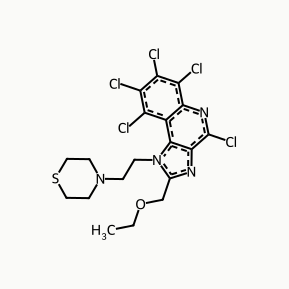 CCOCc1nc2c(Cl)nc3c(Cl)c(Cl)c(Cl)c(Cl)c3c2n1CCN1CCSCC1